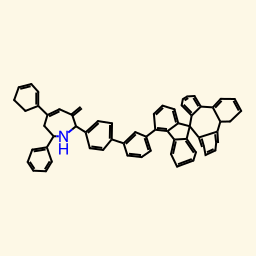 C=C1C=C(C2=CC=CCC2)CC(c2ccccc2)NC1c1ccc(-c2cccc(-c3cccc4c3-c3ccccc3C43c4ccccc4C4=CC=CCC4c4ccccc43)c2)cc1